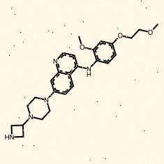 COCCOc1ccc(Nc2ccnc3cc(N4CCN(C5CNC5)CC4)ccc23)c(OC)c1